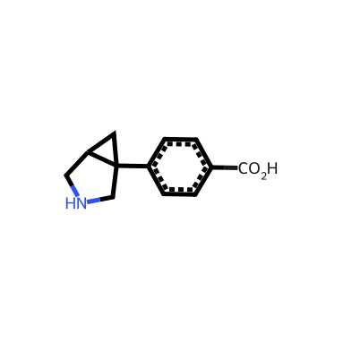 O=C(O)c1ccc(C23CNCC2C3)cc1